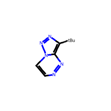 CC(C)(C)c1nnn2ccnnc12